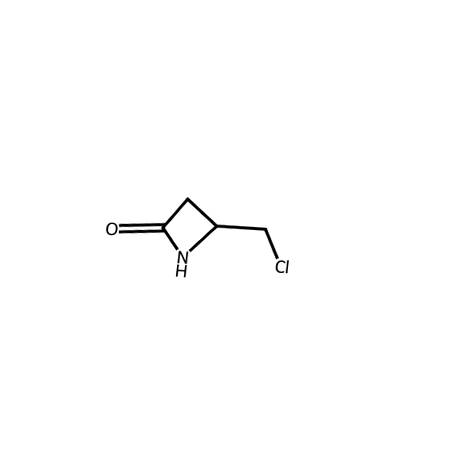 O=C1CC(CCl)N1